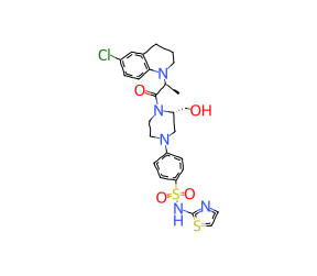 C[C@@H](C(=O)N1CCN(c2ccc(S(=O)(=O)Nc3nccs3)cc2)C[C@H]1CO)N1CCCc2cc(Cl)ccc21